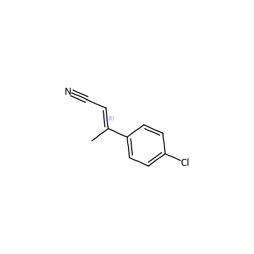 C/C(=C\C#N)c1ccc(Cl)cc1